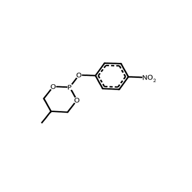 C[C]1COP(Oc2ccc([N+](=O)[O-])cc2)OC1